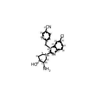 N#Cc1ccc(Cn2c(N3CC[C@@H](O)[C@H](N)C3)nc3ccc(Cl)cc32)nc1